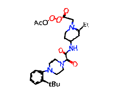 CCC1CC(NC(=O)C(=O)N2CCN(c3ccccc3C(C)(C)C)CC2)CCN1CC(=O)OOOC(C)=O